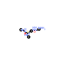 Nc1ccc(CNC(=O)Nc2ccc(-c3nc(Nc4ccccc4)c(C(=O)NCCN4CCCCC4)s3)cc2)cn1